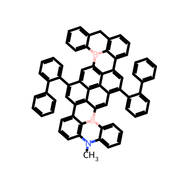 CN1c2ccccc2B2c3c(cccc31)-c1cc(-c3ccccc3-c3ccccc3)c3cc4c5c(cc(-c6ccccc6-c6ccccc6)c6cc2c1c3c65)-c1cccc2c1B4c1ccccc1C2